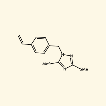 C=Cc1ccc(Cn2nc(SC)nc2SC)cc1